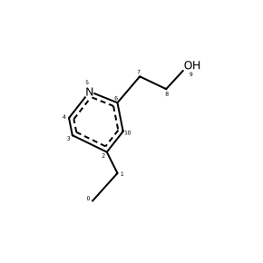 CCc1ccnc(CCO)c1